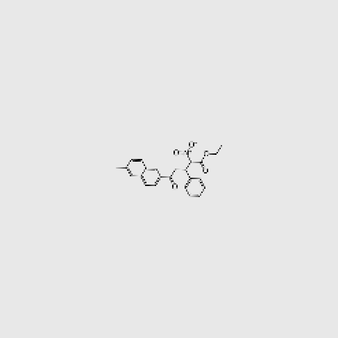 CCOC(=O)C(C(CC(=O)c1ccc2cc(C)ccc2c1)c1ccccc1)[N+](=O)[O-]